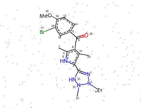 CCN1N=C(c2[nH]c(C)c(C(=O)c3ccc(OC)c(Br)c3)c2C)NN1C